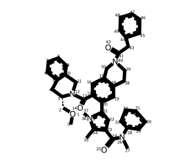 COC[C@@H]1Cc2ccccc2CN1C(=O)c1cc2c(cc1-c1cc(C(=O)N(C)c3ccccc3)c(C)n1C)CCN(C(=O)Cc1ccccc1)C2